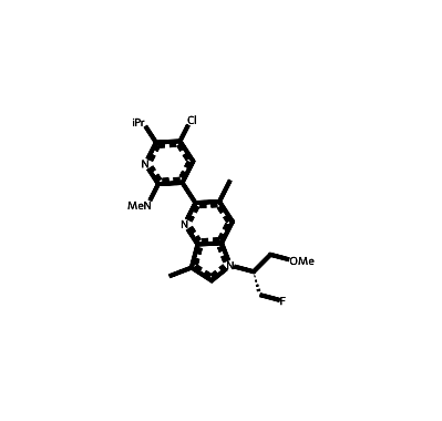 CNc1nc(C(C)C)c(Cl)cc1-c1nc2c(C)cn([C@@H](CF)COC)c2cc1C